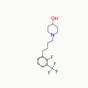 OC1CCN(CCCCc2cccc(C(F)(F)F)c2F)CC1